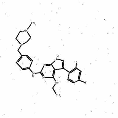 CCNc1nc(Nc2ccc(CN3CCN(C)CC3)cc2)nc2[nH]cc(-c3ccc(F)cc3F)c12